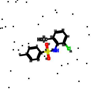 Cc1ccc(S(=O)(=O)Nc2c(Cl)cccc2C(=O)O)cc1